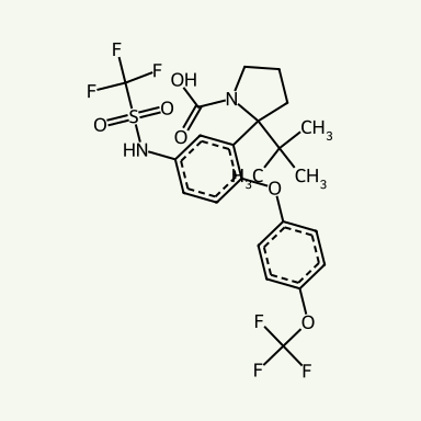 CC(C)(C)C1(c2cc(NS(=O)(=O)C(F)(F)F)ccc2Oc2ccc(OC(F)(F)F)cc2)CCCN1C(=O)O